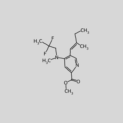 CC/C(C)=C/c1cnc(C(=O)OC)cc1N(C)CC(C)(F)F